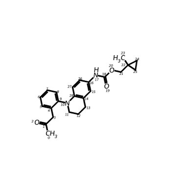 CC(=O)Cc1ccccc1N1CCCc2cc(NC(=O)OCC3(C)CC3)ccc21